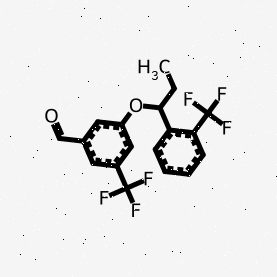 CCC(Oc1cc(C=O)cc(C(F)(F)F)c1)c1ccccc1C(F)(F)F